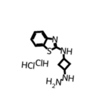 Cl.Cl.NNC1CC(Nc2nc3ccccc3s2)C1